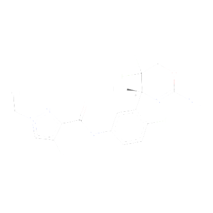 CCn1cc(Cl)c(C(=O)Nc2ccc(F)c([C@@]3(C)N=C(N)OCC3(F)F)c2)n1